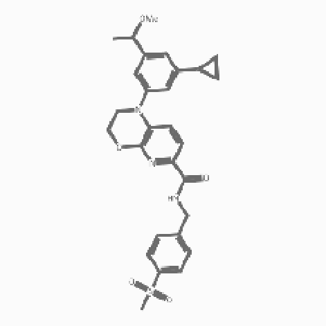 COC(C)c1cc(C2CC2)cc(N2CCOc3nc(C(=O)NCc4ccc(S(C)(=O)=O)cc4)ccc32)c1